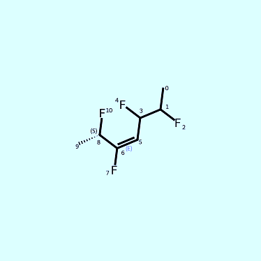 CC(F)C(F)/C=C(/F)[C@H](C)F